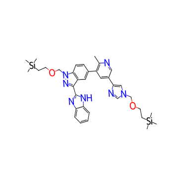 Cc1ncc(-c2cn(COCC[Si](C)(C)C)cn2)cc1-c1ccc2c(c1)c(-c1nc3ccccc3[nH]1)nn2COCC[Si](C)(C)C